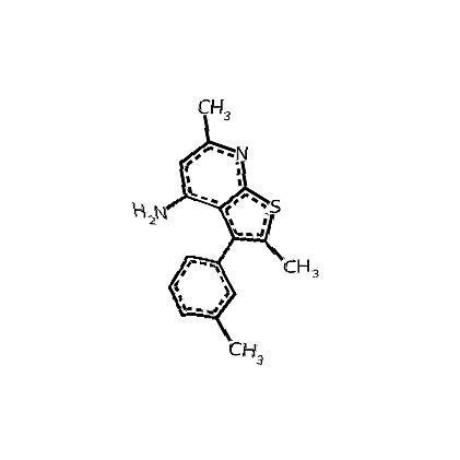 Cc1cccc(-c2c(C)sc3nc(C)cc(N)c23)c1